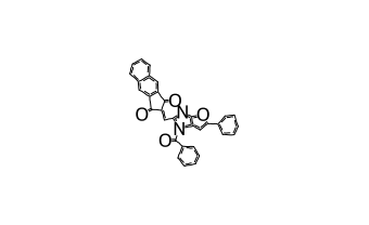 O=C1C(=Cc2nc3oc(-c4ccccc4)cc3n2C(=O)c2ccccc2)C(=O)c2cc3ccccc3cc21